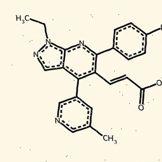 CCn1ncc2c(-c3cncc(C)c3)c(C=CC(=O)O)c(-c3ccc(F)cc3)nc21